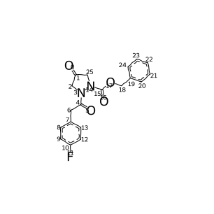 O=C1CN(C(=O)Cc2ccc(F)cc2)N(C(=O)OCc2ccccc2)C1